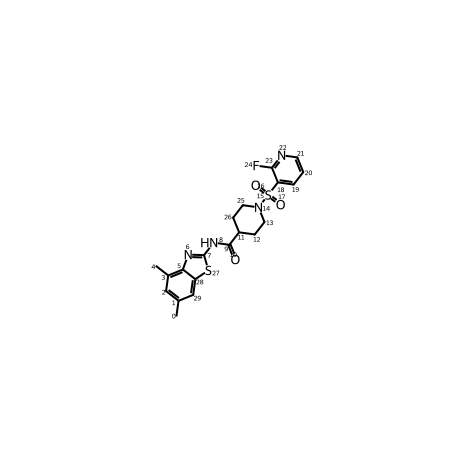 Cc1cc(C)c2nc(NC(=O)C3CCN(S(=O)(=O)c4cccnc4F)CC3)sc2c1